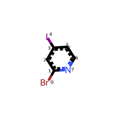 Brc1cc(I)[c]cn1